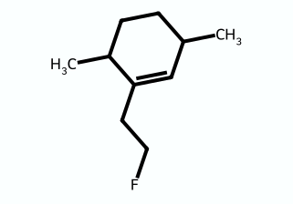 CC1C=C(CCF)C(C)CC1